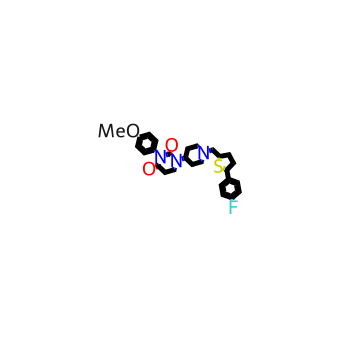 COc1ccc(N2C(=O)CCN(C3CCN(CC4CCC(c5ccc(F)cc5)S4)CC3)C2=O)cc1